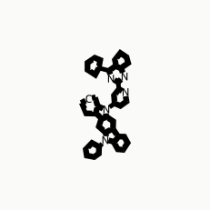 c1ccc(-c2nc(-c3cc(-n4c5ccccc5c5cc6c(cc54)c4ccccc4n6-c4ccccc4)ccn3)nc3ccccc23)cc1